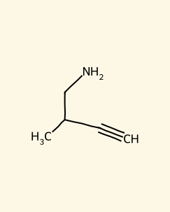 C#CC(C)CN